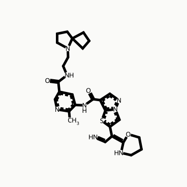 Cc1ncc(C(=O)NCCN2CCCC23CCC3)cc1NC(=O)c1cnn2cc(/C(C=N)=C3/NCCCO3)sc12